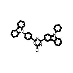 Clc1nc(-c2ccc(-n3c4ccccc4c4ccccc43)cc2)nc(-c2ccc3c(c2)c2ccccc2n3-c2ccccc2)n1